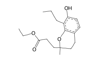 CCCc1c(O)ccc2c1OC(C)(CCC(=O)OCC)CC2